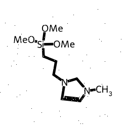 CO[Si](CCCN1C=CN(C)C1)(OC)OC